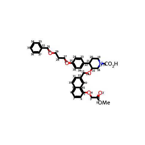 COC(=O)COc1cccc2ccc(COC3CN(C(=O)O)CCC3c3ccc(OCCCOCc4ccccc4)cc3)cc12